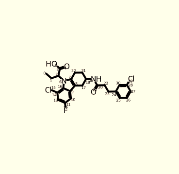 CCC(C(=O)O)n1c2c(c3cc(F)cc(Cl)c31)CC(NC(=O)CCc1cccc(Cl)c1)CC2